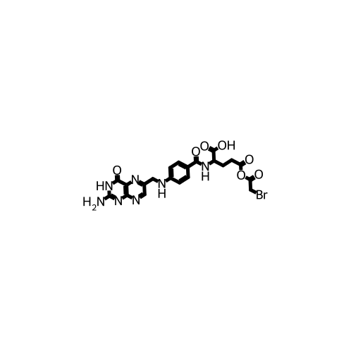 Nc1nc2ncc(CNc3ccc(C(=O)NC(CCC(=O)OC(=O)CBr)C(=O)O)cc3)nc2c(=O)[nH]1